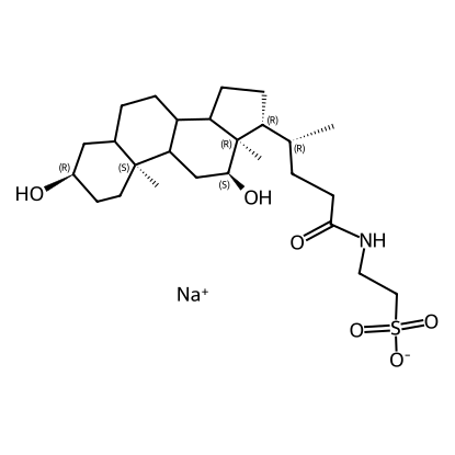 C[C@H](CCC(=O)NCCS(=O)(=O)[O-])[C@H]1CCC2C3CCC4C[C@H](O)CC[C@]4(C)C3C[C@H](O)[C@@]21C.[Na+]